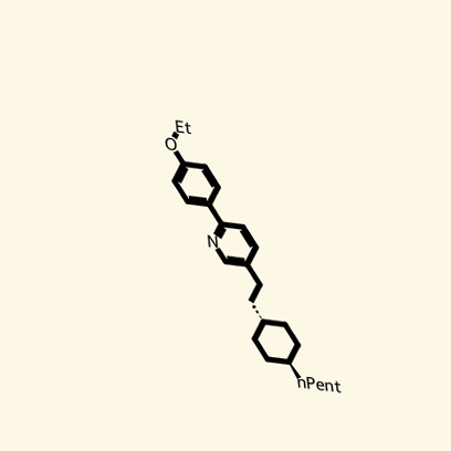 CCCCC[C@H]1CC[C@H](CCc2ccc(-c3ccc(OCC)cc3)nc2)CC1